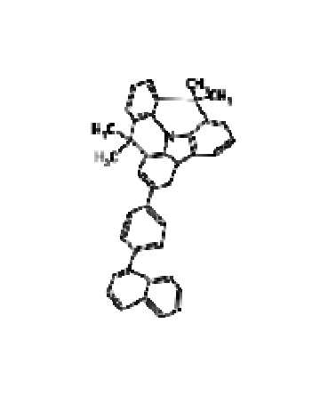 CC1(C)C2=C3C(CC(c4ccc(-c5cccc6ccccc56)cc4)=C2)c2cccc4c2N3c2c1cccc2C4(C)C